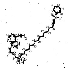 C[C@H](Cn1cnc2c(N)ncnc21)OCP(=O)(O)OCCCCCCCCCCCCCC#C[Si](C)(C)c1ccccc1